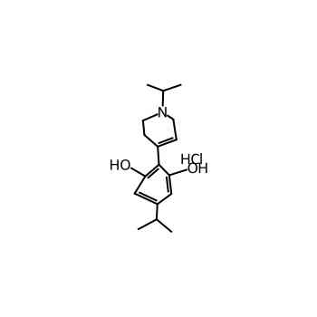 CC(C)c1cc(O)c(C2=CCN(C(C)C)CC2)c(O)c1.Cl